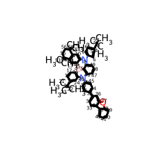 CC(C)(C)c1ccc(N2c3cc4c(cc3B3c5ccc(C(C)(C)C)cc5N(c5ccc(-c6ccc7c(c6)oc6ccccc67)cc5)c5cccc2c53)C(C)(C)CCC4(C)C)cc1